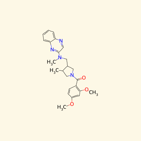 COc1ccc(C(=O)N2CC(C)C(CN(C)c3cnc4ccccc4n3)C2)c(OC)c1